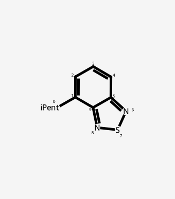 CCCC(C)c1cccc2nsnc12